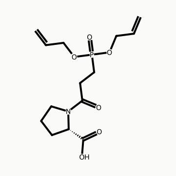 C=CCOP(=O)(CCC(=O)N1CCC[C@H]1C(=O)O)OCC=C